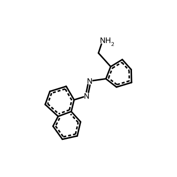 NCc1ccccc1N=Nc1cccc2ccccc12